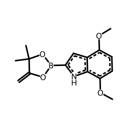 C=C1OB(c2cc3c(OC)ccc(OC)c3[nH]2)OC1(C)C